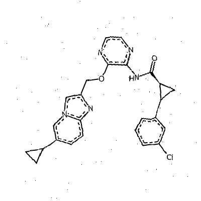 O=C(Nc1nccnc1OCc1cn2cc(C3CC3)ccc2n1)[C@H]1CC1c1cccc(Cl)c1